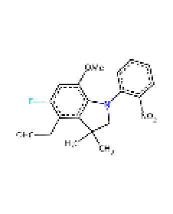 COc1cc(F)c(CC=O)c2c1N(c1ccccc1[N+](=O)[O-])CC2(C)C